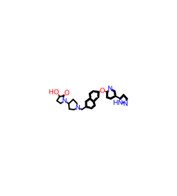 O=C1C(O)CCN1C1CCN(Cc2ccc3cc(Oc4ccc(-c5ccn[nH]5)cn4)ccc3c2)CC1